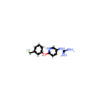 N=C(N)Nc1ccc(Oc2cccc(CF)c2)nc1